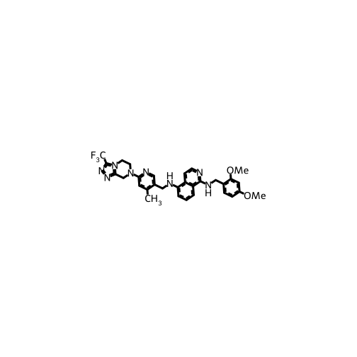 COc1ccc(CNc2nccc3c(NCc4cnc(N5CCn6c(nnc6C(F)(F)F)C5)cc4C)cccc23)c(OC)c1